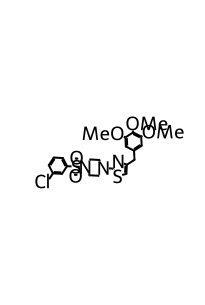 COc1cc(Cc2csc(N3CCN(S(=O)(=O)c4cccc(Cl)c4)CC3)n2)cc(OC)c1OC